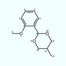 COc1ccccc1C1OCC(C)CO1